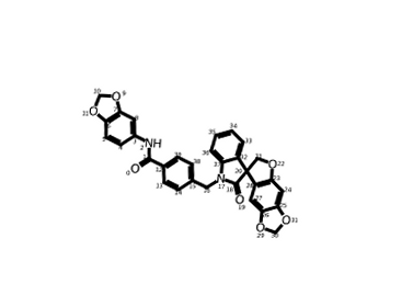 O=C(Nc1ccc2c(c1)OCO2)c1ccc(CN2C(=O)C3(COc4cc5c(cc43)OCO5)c3ccccc32)cc1